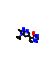 COc1ncnn2ccc(-c3cnc4nc(C)n(C5CC5)c4c3)c12